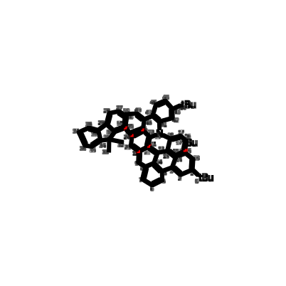 CC(C)(C)c1cc(-c2cccc3cccc(-c4ccccc4N(c4cccc(-c5cccc6c5C(C)(C)c5ccccc5-6)c4)c4cc(C(C)(C)C)ccc4-c4ccccc4)c23)cc(C(C)(C)C)c1